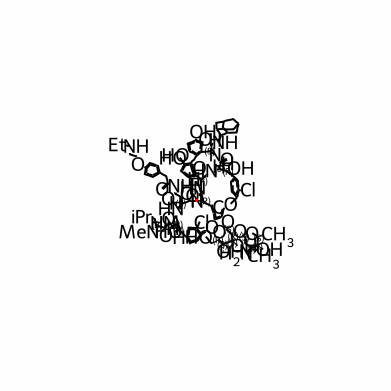 CCNCCOc1ccc(CC(=O)NC(=O)C[C@@H]2NC(=O)[C@H](NC(=O)[C@@H](CC(C)C)NC)[C@H](O)c3ccc(c(Cl)c3)Oc3cc4cc(c3O[C@@H]3O[C@H](CO)[C@@H](O)[C@H](O)[C@H]3O[C@H]3C[C@](C)(N)[C@H](O)[C@H](C)O3)Oc3ccc(cc3Cl)[C@@H](O)[C@@H]3NC(=O)[C@H](NC(=O)[C@@H]4NC2=O)c2ccc(O)c(c2)-c2c(O)cc(O)cc2[C@@H](C(=O)NC2C4CC5CC(C4)CC2C5)NC3=O)cc1